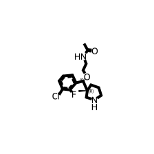 CC(=O)NCCO[C@@H](c1cccc(Cl)c1F)[C@]1(C)CCCNC1